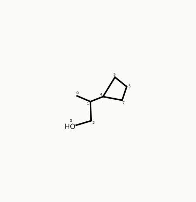 CC(CO)C1CCC1